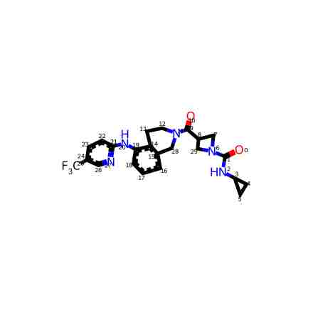 O=C(NC1CC1)N1CC(C(=O)N2CCc3c(cccc3Nc3ccc(C(F)(F)F)cn3)C2)C1